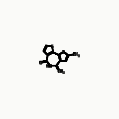 C=C1NC(=O)c2ccsc2-c2sc(C)cc21